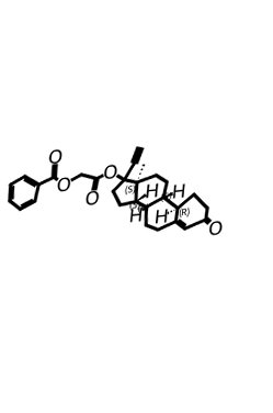 C#CC1(OC(=O)COC(=O)c2ccccc2)CC[C@H]2[C@@H]3CCC4=CC(=O)CC[C@@H]4[C@H]3CC[C@@]21C